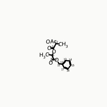 CC(=O)OC(C)C(=O)OC(C)C(=O)OCc1ccccc1